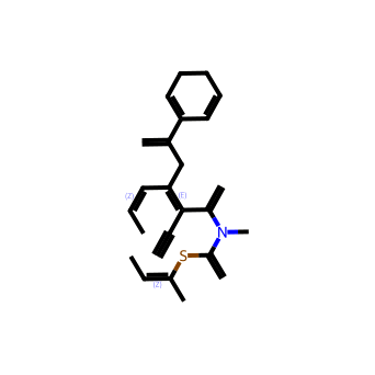 C#C/C(C(=C)N(C)C(=C)S/C(C)=C\C)=C(\C=C/C)CC(=C)C1=CCCC=C1